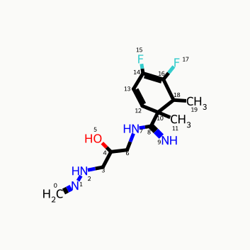 C=NNCC(O)CNC(=N)C1(C)C=CC(F)=C(F)C1C